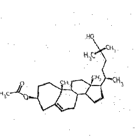 CC(=O)O[C@H]1CC[C@@]2(C)C(=CCC3C2CC[C@@]2(C)C3CC[C@@H]2[C@H](C)CCC(C)(C)O)C1